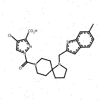 Cc1ccc2cc(CN3CCCC34CCN(C(=O)n3cc(Cl)c(C(=O)O)n3)CC4)sc2c1